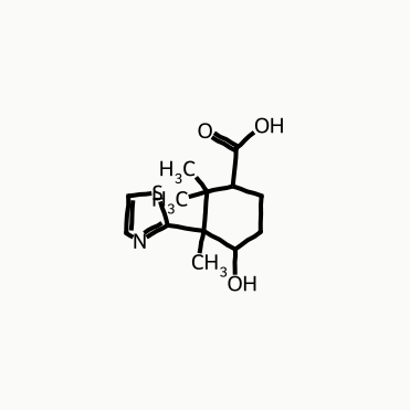 CC1(C)C(C(=O)O)CCC(O)C1(C)c1nccs1